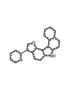 c1ccc(-c2coc3c2ccc2[nH]c4ccc5ccccc5c4c23)nc1